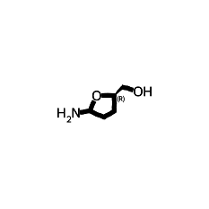 NC1CC[C@H](CO)O1